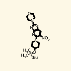 CC(C)(C)[Si](C)(C)OC1CCN(c2nc3nc(N4CCOCC4)sc3cc2[N+](=O)[O-])CC1